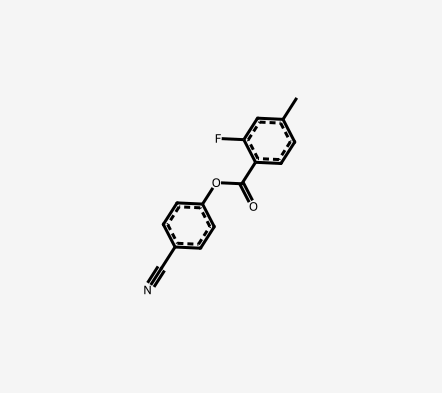 Cc1ccc(C(=O)Oc2ccc(C#N)cc2)c(F)c1